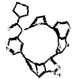 O=C(C1CCCC1)n1c2cncc(c2)c2ccc3[nH]nc(c4nc5c(nccc5c5ccc1s5)[nH]4)c3c2F